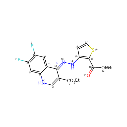 CCOC(=O)c1c[nH]c2cc(F)c(F)cc2/c1=N/Nc1ccsc1C(=O)OC